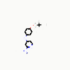 CN(C)c1cc(Nc2ccc(O[Si](C)(C)C(C)(C)C)cc2)ccn1